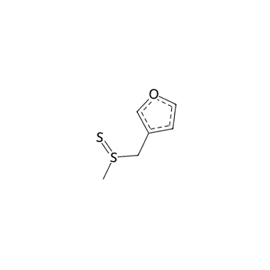 CS(=S)Cc1ccoc1